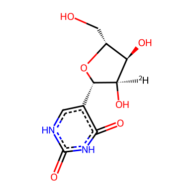 [2H][C@@]1(O)[C@H](O)[C@@H](CO)O[C@H]1c1c[nH]c(=O)[nH]c1=O